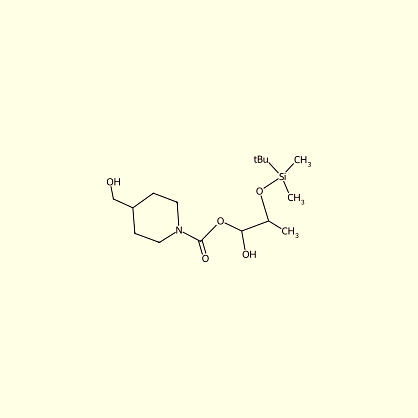 CC(O[Si](C)(C)C(C)(C)C)C(O)OC(=O)N1CCC(CO)CC1